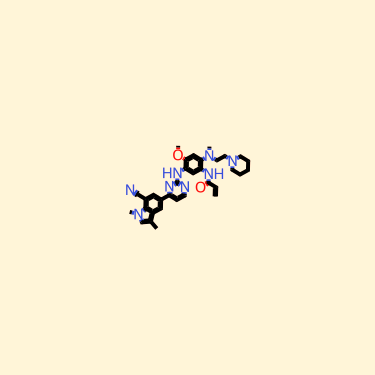 C=CC(=O)Nc1cc(Nc2nccc(-c3cc(C#N)c4c(c3)c(C)cn4C)n2)c(OC)cc1N(C)CCN1CCCCC1